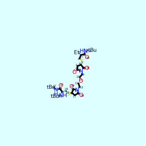 CC[C@@H](CSC1CC(=O)N(CCOCCN2C(=O)CC(SC[C@H](NC(C)(C)C)C(=O)NC(C)(C)C)C2=O)C1=O)C(=O)NC(C)(C)C